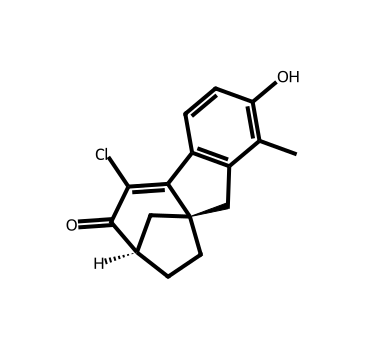 Cc1c(O)ccc2c1C[C@@]13CC[C@H](C1)C(=O)C(Cl)=C23